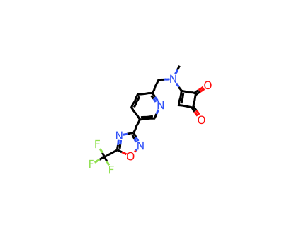 CN(Cc1ccc(-c2noc(C(F)(F)F)n2)cn1)c1cc(=O)c1=O